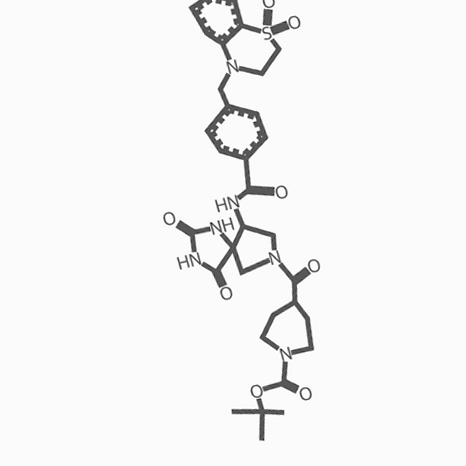 CC(C)(C)OC(=O)N1CCC(C(=O)N2CC(NC(=O)c3ccc(CN4CCS(=O)(=O)c5ccccc54)cc3)C3(C2)NC(=O)NC3=O)CC1